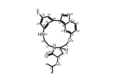 CC(C)O[C@@H]1C[C@H]2COc3ccn4ncc(c4n3)-c3cc(F)cc(c3)NCCN2C1=O